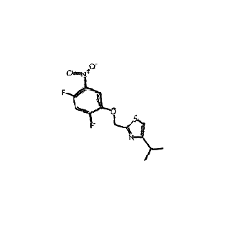 CC(C)c1csc(COc2cc([N+](=O)[O-])c(F)cc2F)n1